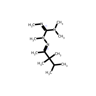 C/N=C(/N(C)C)N(C)/N=C(\C)C(C)(C)C(C)C